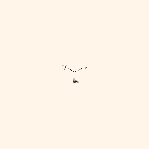 CCCC[C@@H](C(C)C)C(F)(F)F